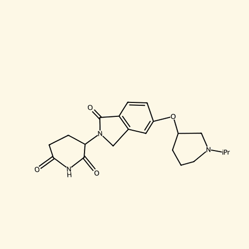 CC(C)N1CCCC(Oc2ccc3c(c2)CN(C2CCC(=O)NC2=O)C3=O)C1